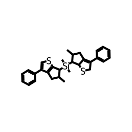 CC1Cc2c(-c3ccccc3)csc2C1[Si](C)(C)C1C(C)CC2=C(c3ccccc3)CSC21